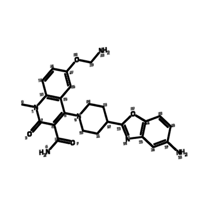 Cn1c(=O)c(C(N)=O)c(N2CCC(c3nc4cc(N)ccc4o3)CC2)c2cc(OCN)ccc21